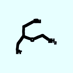 BCOC(CC(C)C)CC(C)(C)C